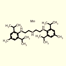 Cc1cc(C(C)C)c(NCCNCCNc2c(C(C)C)cc(C)cc2C(C)C)c(C(C)C)c1.[Mn]